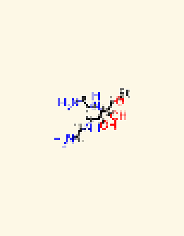 CCOCC(O)C(NCCN)C(O)CNCCN